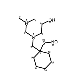 CN(C)CN(CCO)CC1(SN=O)CCCCC1